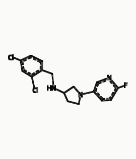 Fc1ccc(N2CCC(NCc3ccc(Cl)cc3Cl)C2)cn1